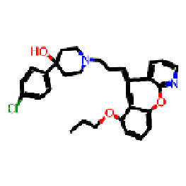 CCCOC1C=CC=C2Oc3ncccc3C(=CCCN3CCC(O)(c4ccc(Cl)cc4)CC3)C=C21